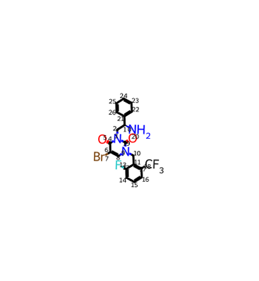 N[C@@H](Cn1c(=O)c(Br)cn(Cc2c(F)cccc2C(F)(F)F)c1=O)c1ccccc1